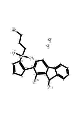 CC1c2ccccc2-c2ccc(C3=C([Si](C)(C)CCCO)C=CC3)[c]([Zr+2])c21.[Cl-].[Cl-]